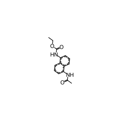 CCOC(=O)Nc1cccc2c(NC(C)=O)cccc12